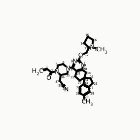 C=CC(=O)N1CCN(c2nc(OCC3CCCN3C)nc3c2CCC2(CCc4cc(C)ccc42)C3)CC1CC#N